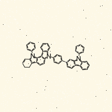 C1=Cc2c(c3ccc4c(c5ccccc5n4-c4ccc(-c5ccc6c7ccccc7n(-c7ccccc7)c6c5)cc4)c3n2-c2ccccc2)CC1